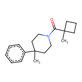 CC1(C(=O)N2CCC(C)(c3ccccc3)CC2)CCC1